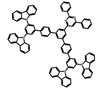 C1=CC2c3ccccc3N(c3cc(-c4ccc(-c5cc(-c6ccc(-c7cc(-n8c9ccccc9c9ccccc98)cc(-n8c9ccccc9c9ccccc98)c7)cc6)cc(-c6cc(-c7ccccc7)nc(-c7ccccc7)n6)c5)cc4)cc(-n4c5ccccc5c5ccccc54)c3)C2C=C1